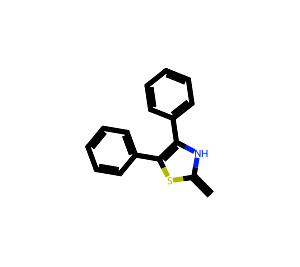 C=C1NC(c2ccccc2)=C(c2ccccc2)S1